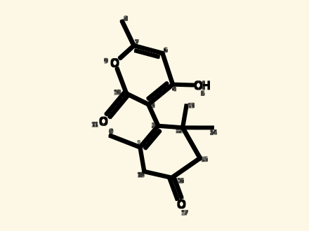 CC1=C(c2c(O)cc(C)oc2=O)C(C)(C)CC(=O)C1